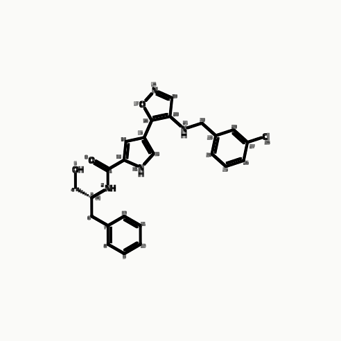 O=C(N[C@@H](CO)Cc1ccccc1)c1cc(-c2oncc2NCc2cccc(Cl)c2)c[nH]1